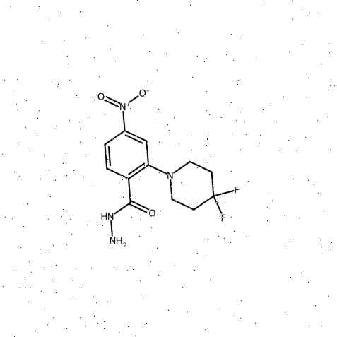 NNC(=O)c1ccc([N+](=O)[O-])cc1N1CCC(F)(F)CC1